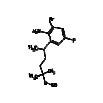 CC(C)c1cc(F)cc(C(C)CCC(C)(C)ON=O)c1N